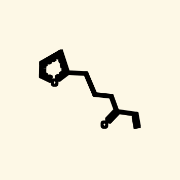 C=CC(=O)CCCc1ccco1